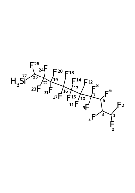 FC(F)C(F)C(F)C(F)(F)C(F)(F)C(F)(F)C(F)(F)C(F)(F)C(F)(F)C(F)[SiH3]